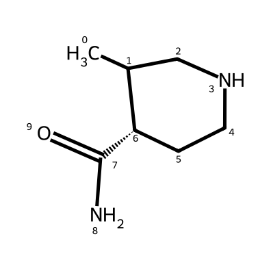 CC1CNCC[C@@H]1C(N)=O